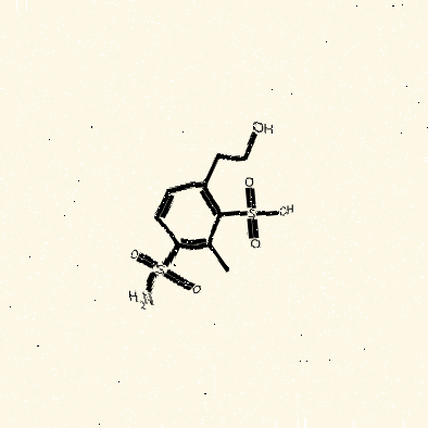 Cc1c(S(N)(=O)=O)ccc(CCO)c1S(=O)(=O)O